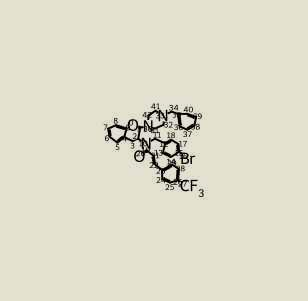 O=C([C@H](Cc1ccccc1)N(Cc1ccc(Br)cc1)C(=O)C=Cc1ccc(C(F)(F)F)cc1)N1CCN(Cc2ccccc2)CC1